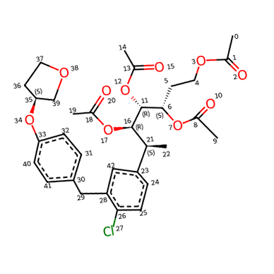 CC(=O)OCC[C@H](OC(C)=O)[C@@H](OC(C)=O)[C@H](OC(C)=O)[C@@H](C)c1ccc(Cl)c(Cc2ccc(O[C@H]3CCOC3)cc2)c1